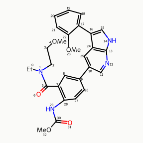 CCN(CCOC)C(=O)c1cc(-c2cnc3[nH]cc(-c4ccccc4OC)c3c2)ccc1NC(=O)OC